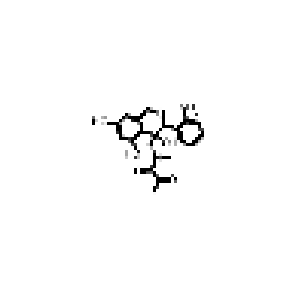 CC(=O)C(=O)N(C)OC1(O)c2c(O)cc(O)cc2COC1c1ccccc1N